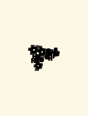 O=C(Nc1cc(S(=O)(=O)NCC(F)(F)F)ccc1-c1ccccc1)NC1CCCC1